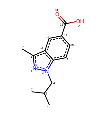 Cc1nn(CC(C)C)c2ccc(C(=O)O)cc12